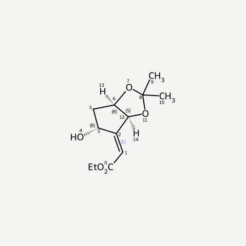 CCOC(=O)/C=C1\[C@H](O)C[C@H]2OC(C)(C)O[C@@H]12